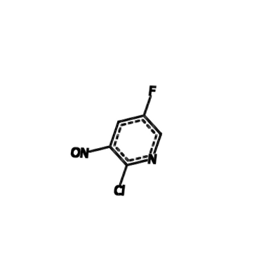 O=Nc1cc(F)cnc1Cl